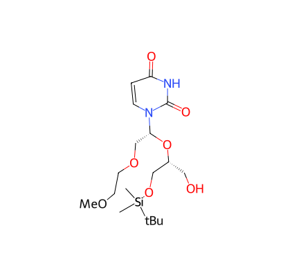 COCCOC[C@@H](O[C@H](CO)CO[Si](C)(C)C(C)(C)C)n1ccc(=O)[nH]c1=O